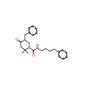 CC1(C)CC(=O)C(Cc2ccccc2)CN1C(=O)NCCCCc1ccccc1